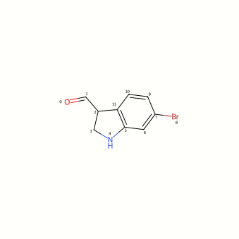 O=CC1CNc2cc(Br)ccc21